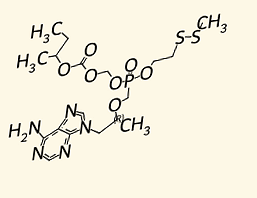 CCC(C)OC(=O)OCOP(=O)(CO[C@H](C)Cn1cnc2c(N)ncnc21)OCCSSC